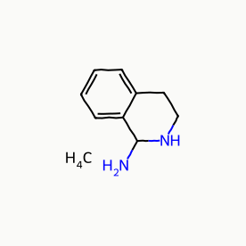 C.NC1NCCc2ccccc21